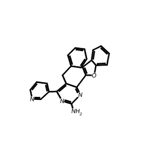 Nc1nc(-c2cccnc2)c(Cc2ccccc2)c(-c2cc3ccccc3o2)n1